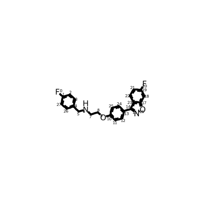 Fc1ccc(CNCCOc2ccc(-c3noc4cc(F)ccc34)cc2)cc1